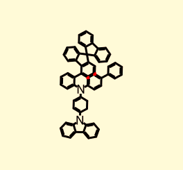 C1=C=C(c2ccccc2N(C2=CC=C(n3c4ccccc4c4ccccc43)CC2)c2ccc(-c3ccccc3)cc2)C2=C(C=1)C1(c3ccccc32)c2ccccc2-c2ccccc21